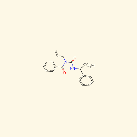 C=CCN(C(=O)NC(C(=O)O)c1ccccc1)C(=O)c1ccccc1